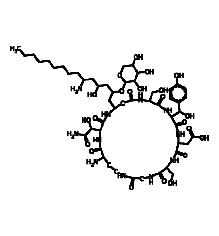 CCCCCCCCCC(N)CC(O)CC(CC1CC(=O)NC(CO)C(=O)NC(C(O)c2ccc(O)cc2)C(=O)NC(CC(=O)O)C(=O)NC(CO)C(=O)NCC(=O)NCCC(N)C(=O)NC(C(O)C(N)=O)C(=O)N1)OC1OCC(O)C(O)C1O